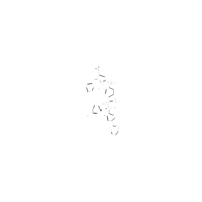 COc1ccc(CN(c2noc3cc(Nc4cc(C5CC5)n(Cc5ccc(OC)cc5)n4)c(OC)cc23)S(=O)(=O)c2c(OC)cc(-c3ncccn3)cc2OC)cc1